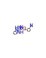 N#Cc1cccc(COc2cc(-c3nc4ccccc4[nH]3)[nH]n2)c1